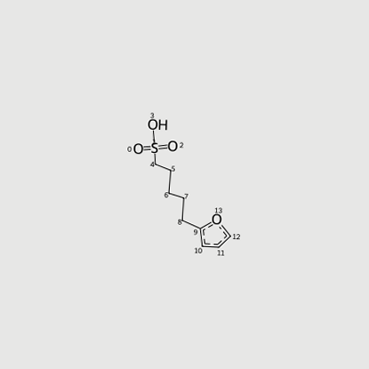 O=S(=O)(O)CCCCCc1ccco1